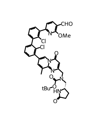 COc1nc(-c2cccc(-c3cccc(-c4cc(C)c5nc(CN(C[C@@H]6CCC(=O)N6)C(=O)OC(C)(C)C)cc(=O)n5c4)c3Cl)c2Cl)ccc1C=O